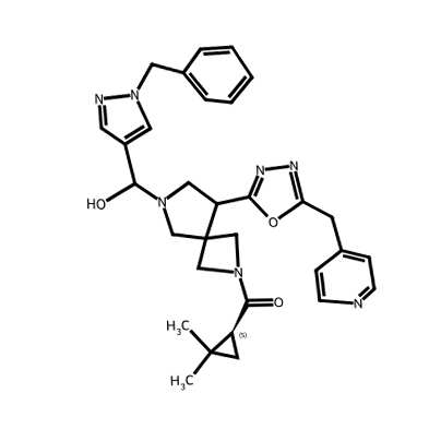 CC1(C)C[C@@H]1C(=O)N1CC2(C1)CN(C(O)c1cnn(Cc3ccccc3)c1)CC2c1nnc(Cc2ccncc2)o1